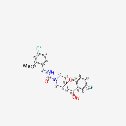 COc1cc(F)ccc1CNC(=O)N1CCC2(CC1)CC(O)c1cc(F)ccc1O2